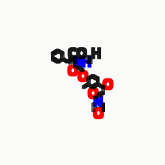 Cc1c(OCC(=O)N[C@@H](Cc2ccccc2)C(=O)O)ccc2c(=O)cc(N3CCOCC3)oc12